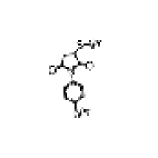 CCCc1ccc(N2C(=O)CC(SC(C)C)C2=O)cc1